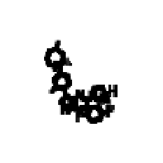 Cc1cc(N2CCCC(C)C[C@@H]2C)ccc1-c1cnn2ccc(N3CC[C@H]4C[C@]43c3cc(F)ccc3F)nc12